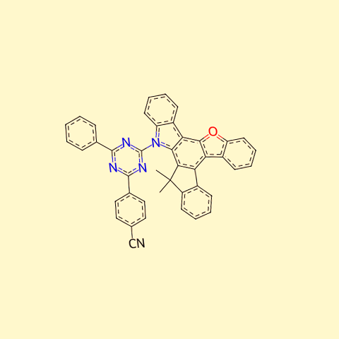 CC1(C)c2ccccc2-c2c1c1c(c3ccccc3n1-c1nc(-c3ccccc3)nc(-c3ccc(C#N)cc3)n1)c1oc3ccccc3c21